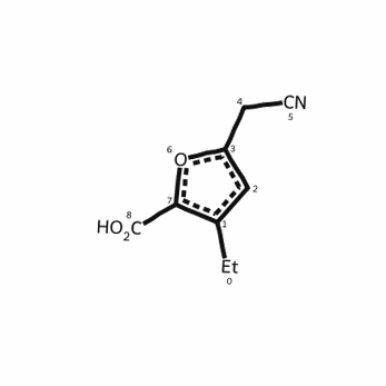 CCc1cc(CC#N)oc1C(=O)O